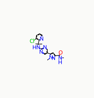 CNC(=O)c1cc(-c2cnc(NC(C)(C)c3ncccc3Cl)nc2)n(C)n1